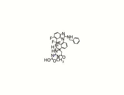 CN1C(=O)C[C@@](C)(c2cccc(-n3c(NCc4ccccc4)nc4ccc(F)c(C(F)(F)F)c43)c2F)N/C1=N/C(=O)O